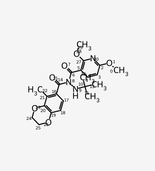 COc1ccc(C(=O)N(NC(C)(C)C)C(=O)c2ccc3c(c2C)OCCO3)c(OC)n1